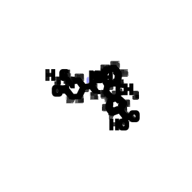 Cc1cc(C(=O)O)ccc1[C@H](C/C(=N\O)C1CCC(=O)N(C)C1)c1ccccc1